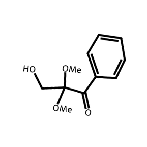 COC(CO)(OC)C(=O)c1ccccc1